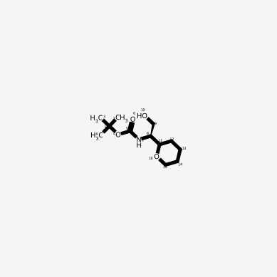 CC(C)(C)OC(=O)N[C@@H](CO)C1CCCCO1